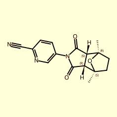 C[C@]12CC[C@](C)(O1)[C@@H]1C(=O)N(c3ccc(C#N)nc3)C(=O)[C@@H]12